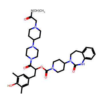 Cc1cc(CC(OC(=O)N2CCC(N3CCc4ccccc4NC3=O)CC2)C(=O)N2CCN(C3CCN(CC(=O)N(C)O)CC3)CC2)cc(C)c1O